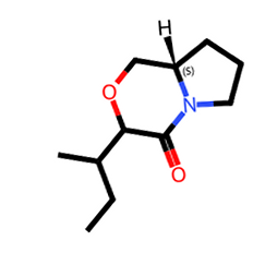 CCC(C)C1OC[C@@H]2CCCN2C1=O